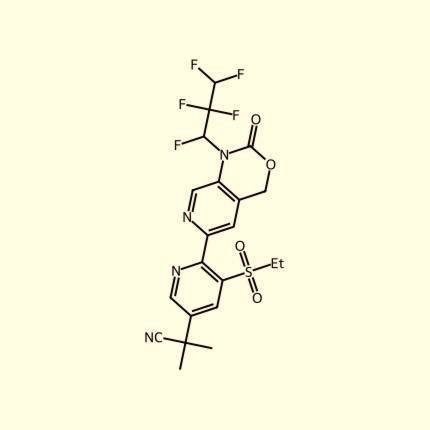 CCS(=O)(=O)c1cc(C(C)(C)C#N)cnc1-c1cc2c(cn1)N(C(F)C(F)(F)C(F)F)C(=O)OC2